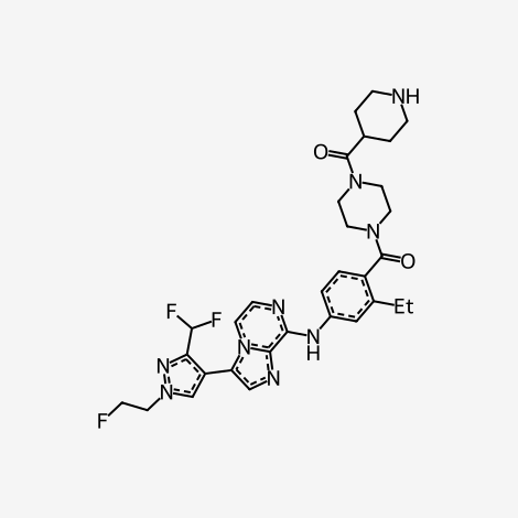 CCc1cc(Nc2nccn3c(-c4cn(CCF)nc4C(F)F)cnc23)ccc1C(=O)N1CCN(C(=O)C2CCNCC2)CC1